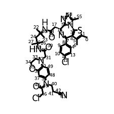 Cc1sc2c(c1C)C(c1ccc(Cl)cc1)=N[C@@H](CC(=O)NC(C)(C)CC(C)(C)NC(=O)CN1CCOc3cc(N(CCC#N)C(=O)CCl)ccc31)c1nnc(C)n1-2